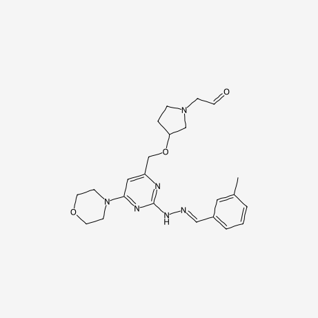 Cc1cccc(C=NNc2nc(COC3CCN(CC=O)C3)cc(N3CCOCC3)n2)c1